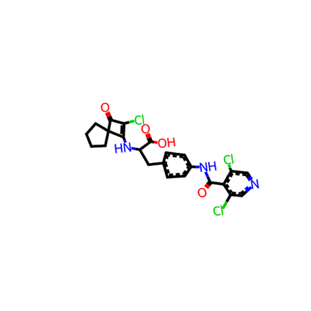 O=C(Nc1ccc(CC(NC2=C(Cl)C(=O)C23CCCC3)C(=O)O)cc1)c1c(Cl)cncc1Cl